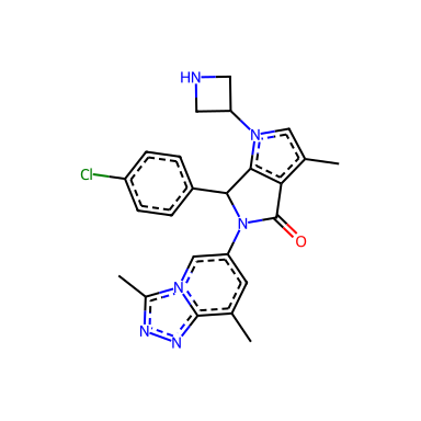 Cc1cn(C2CNC2)c2c1C(=O)N(c1cc(C)c3nnc(C)n3c1)C2c1ccc(Cl)cc1